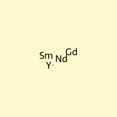 [Gd].[Nd].[Sm].[Y]